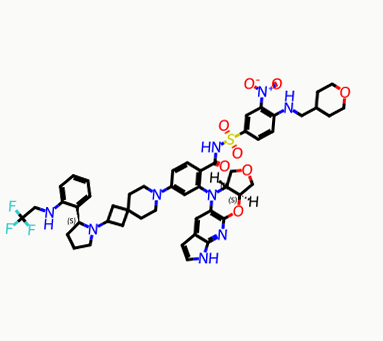 O=C(NS(=O)(=O)c1ccc(NCC2CCOCC2)c([N+](=O)[O-])c1)c1ccc(N2CCC3(CC2)CC(N2CCC[C@H]2c2ccccc2NCC(F)(F)F)C3)cc1N1c2cc3cc[nH]c3nc2O[C@@H]2COC[C@H]21